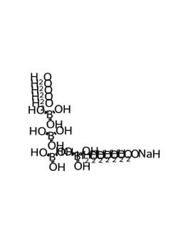 O.O.O.O.O.O.O.O.O.O.O.O.OB(O)O.OB(O)O.OB(O)O.OB(O)O.[NaH]